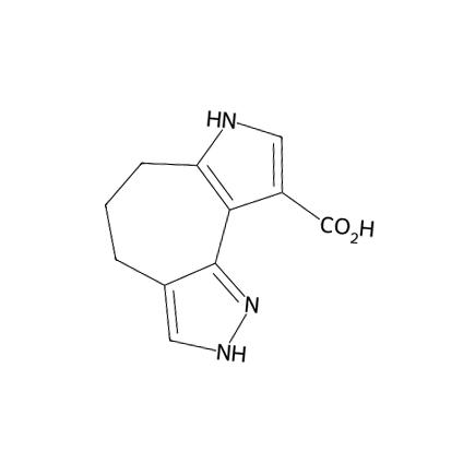 O=C(O)c1c[nH]c2c1-c1n[nH]cc1CCC2